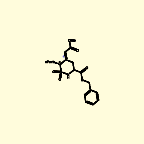 CCCCC[C@H]1/C(=C/C(=O)OC)CC(C(=O)OCc2ccccc2)NS1(=O)=O